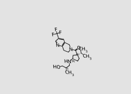 CC(C)[C@]1(C(=O)N2CCc3ncc(C(F)(F)F)cc3C2)CC[C@@H](NC[C@H](C)CO)C1